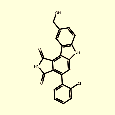 O=C1NC(=O)c2c1c(-c1ccccc1Cl)cc1[nH]c3ccc(CO)cc3c21